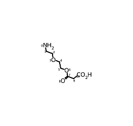 NCCOCCOC(=O)CC(=O)O